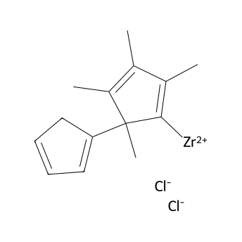 CC1=C(C)C(C)(C2=CC=CC2)[C]([Zr+2])=C1C.[Cl-].[Cl-]